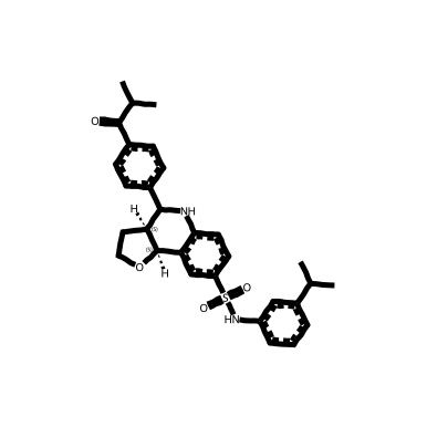 CC(C)C(=O)c1ccc(C2Nc3ccc(S(=O)(=O)Nc4cccc(C(C)C)c4)cc3[C@H]3OCC[C@@H]23)cc1